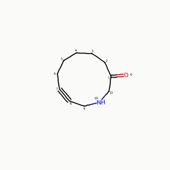 O=C1CCCCCC#CCNC1